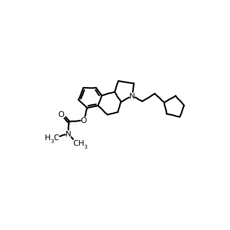 CN(C)C(=O)Oc1cccc2c1CCC1C2CCN1CCC1CCCC1